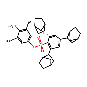 CC(C)c1cc(OS(=O)(=O)c2c(C3CC4CCC3C4)cc(C3CC4CCC3C4)cc2[C@@H]2CC3CCC2C3)cc(C(C)C)c1S(=O)(=O)O